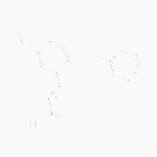 COc1ccc(OCc2ccccc2)c(/C=C/C(=O)O)c1